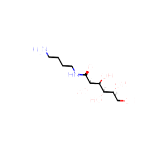 NCCCCNC(=O)[C@@H](O)C(O)[C@@H](O)[C@H](O)CO